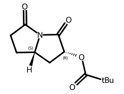 CC(C)(C)C(=O)O[C@@H]1C[C@@H]2CCC(=O)N2C1=O